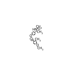 CCOc1ccc(N2CCC(Oc3ccc([C@H](C)NC(C)=O)cc3)C2)c(C)c1